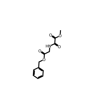 COC(=O)C(=O)NCC(=O)OCc1ccccc1